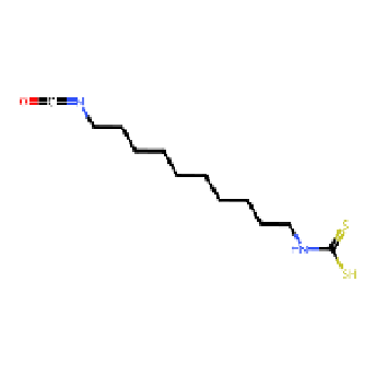 O=C=NCCCCCCCCCCNC(=S)S